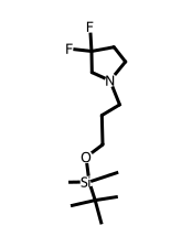 CC(C)(C)[Si](C)(C)OCCCN1CCC(F)(F)C1